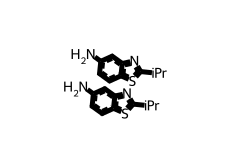 CC(C)c1nc2cc(N)ccc2s1.CC(C)c1nc2cc(N)ccc2s1